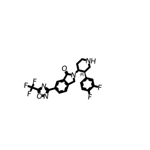 O=C1c2cc(-c3noc(C(F)(F)F)n3)ccc2CN1C1CCNC[C@H]1c1ccc(F)c(F)c1